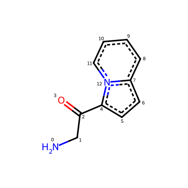 NCC(=O)c1ccc2ccccn12